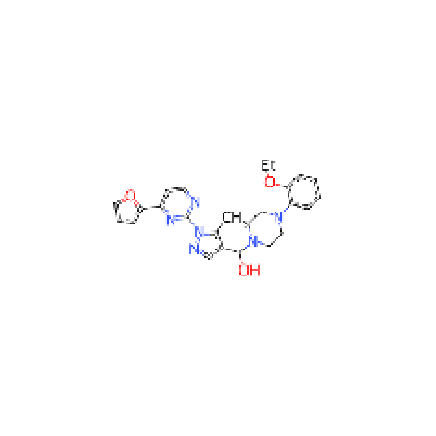 CCOc1ccccc1N1CCN(C(O)c2cnn(-c3nccc(-c4ccco4)n3)c2C)CC1